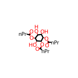 CCCC(=O)O[C@H]1[C@@H](O)[C@H](O)[C@@H](OC(=O)CCC)[C@H](OC(=O)CCC)[C@H]1O